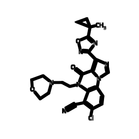 CC1(c2nc(-c3ncn4c3c(=O)n(CCN3CCOCC3)c3c(C#N)c(Cl)ccc34)no2)CC1